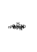 CCCS(=O)(=O)Nc1ccc(F)c(Nc2ccc3ncc(N4CCOCC4)nc3c2C#N)c1